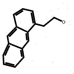 [O]CCc1cccc2cc3ccccc3cc12